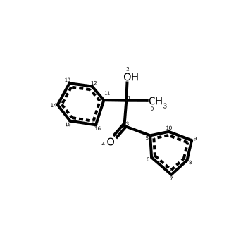 CC(O)(C(=O)c1ccccc1)c1ccccc1